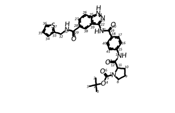 CC(C)(C)OC(=O)N1CCCC1C(=O)Nc1ccc(C(=O)Nc2n[nH]c3ccc(C(=O)NCc4cccs4)cc23)cc1